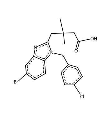 CC(C)(CC(=O)O)Cc1nc2cc(Br)ccc2n1Cc1ccc(Cl)cc1